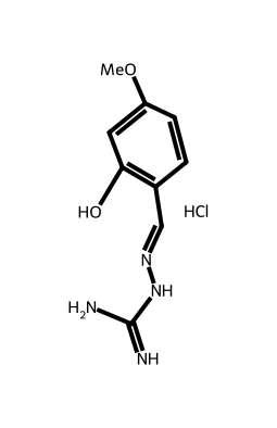 COc1ccc(C=NNC(=N)N)c(O)c1.Cl